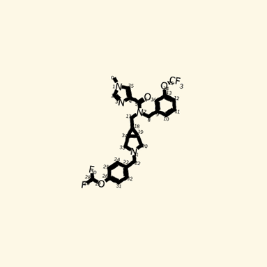 Cn1cnc(C(=O)N(Cc2cccc(OC(F)(F)F)c2)CC2C3CN(Cc4ccc(OC(F)F)cc4)CC32)c1